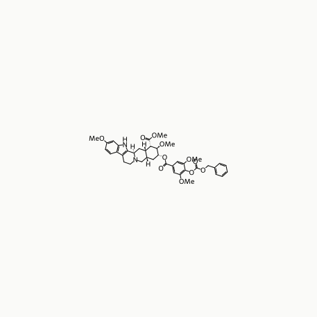 COC(=O)[C@H]1[C@H]2C[C@@H]3c4[nH]c5cc(OC)ccc5c4CCN3C[C@H]2C[C@@H](OC(=O)c2cc(OC)c(OC(=O)OCc3ccccc3)c(OC)c2)[C@@H]1OC